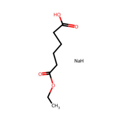 CCOC(=O)CCCCC(=O)O.[NaH]